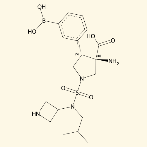 CC(C)CN(C1CNC1)S(=O)(=O)N1C[C@H](c2cccc(B(O)O)c2)[C@](N)(C(=O)O)C1